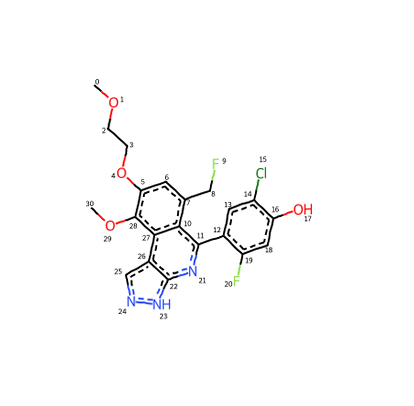 COCCOc1cc(CF)c2c(-c3cc(Cl)c(O)cc3F)nc3[nH]ncc3c2c1OC